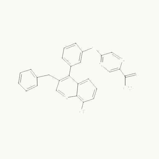 COC(=O)c1cnc(Oc2cccc(-c3c(Cc4ccccc4)cnc4c(C(F)(F)F)cccc34)c2)cn1